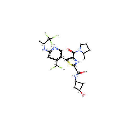 CC1CCCN1C(=O)c1nc(C(=O)NC2CC(O)C2)sc1-c1cnc(NC(C)C(F)(F)F)cc1C(F)F